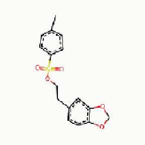 Cc1ccc(S(=O)(=O)OCCc2ccc3c(c2)OCO3)cc1